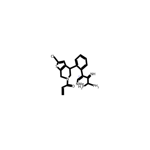 C=CC(=O)N1Cc2sc(Cl)cc2C(c2ccccc2/C(=C/NC)C(=N)C(P)P)C1